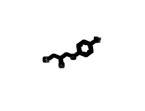 O=C(CCl)COc1ccc(Br)cc1